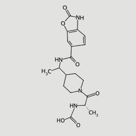 CC(NC(=O)c1ccc2[nH]c(=O)oc2c1)C1CCN(C(=O)[C@H](C)NC(=O)O)CC1